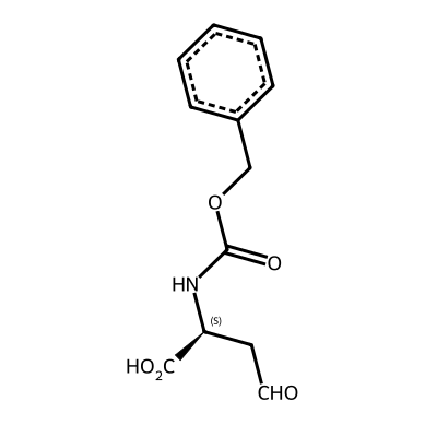 O=CC[C@H](NC(=O)OCc1ccccc1)C(=O)O